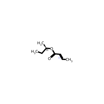 C/C=C/C(=O)O[C@H](C)CC